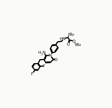 CC(C)(C)OC(=O)[C@@H](NCCc1ccc(-n2c(N)c(Cc3ccc(F)cc3F)ccc2=O)cc1)C(C)(C)C